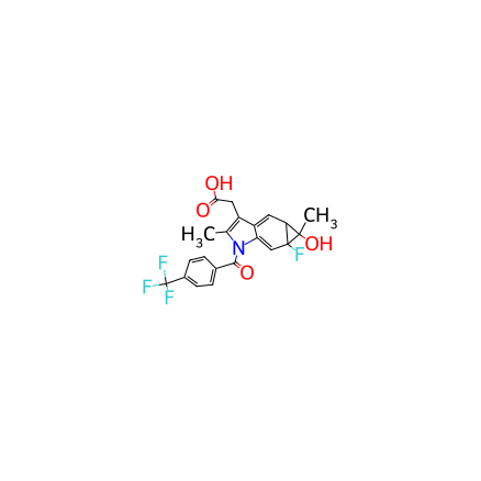 Cc1c(CC(=O)O)c2c(n1C(=O)c1ccc(C(F)(F)F)cc1)=CC1(F)C(C=2)C1(C)O